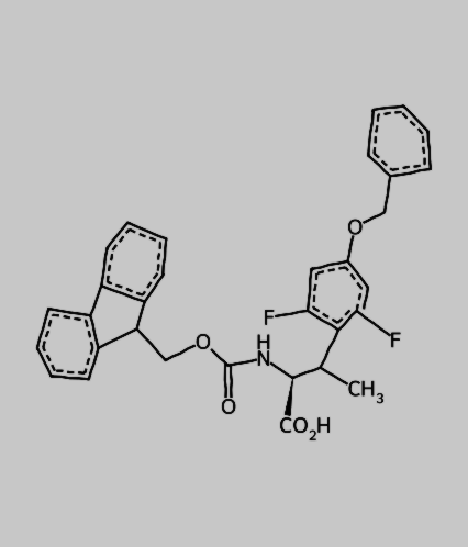 CC(c1c(F)cc(OCc2ccccc2)cc1F)[C@H](NC(=O)OCC1c2ccccc2-c2ccccc21)C(=O)O